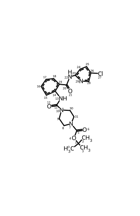 CC(C)(C)OC(=O)N1CCN(C(=O)Nc2ccccc2C(=O)Nc2ccc(Cl)cn2)CC1